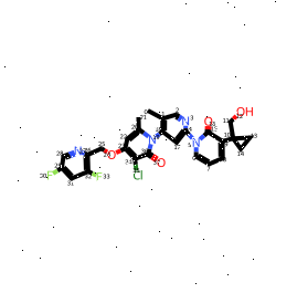 Cc1cnc(-n2cccc(C3(CO)CC3)c2=O)cc1-n1c(C)cc(OCc2ncc(F)cc2F)c(Cl)c1=O